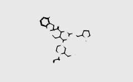 C=CC(=O)N1CCN(C2NC(OCC3CCCN3C)NC3C(=O)[C@]4(CCC32)Cc2c(Cl)cccc2S4)CC1CC#N